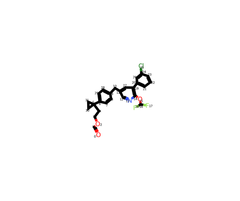 O=COCCC1(c2ccc(Cc3cnc(OC(F)F)c(-c4cccc(Cl)c4)c3)cc2)CC1